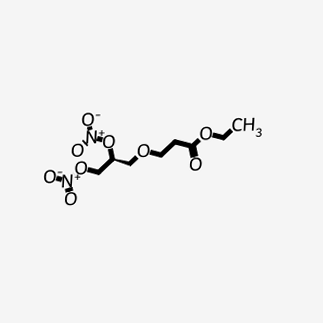 CCOC(=O)CCOC[C@@H](CO[N+](=O)[O-])O[N+](=O)[O-]